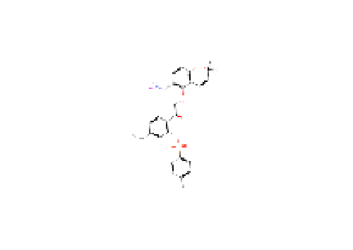 CCc1ccc(C(=O)COc2c(CN=O)ccc3c2C=CC(C)(C)O3)c(OS(=O)(=O)c2ccc(C)cc2)c1